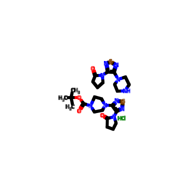 CC(C)(C)OC(=O)N1CCN(c2nsnc2N2CCCC2=O)CC1.Cl.O=C1CCCN1c1nsnc1N1CCNCC1